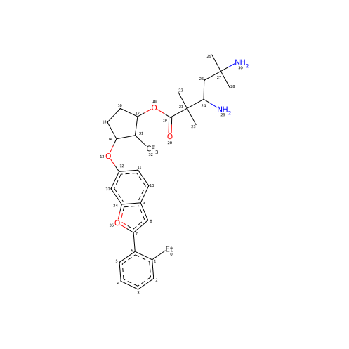 CCc1ccccc1-c1cc2ccc(OC3CCC(OC(=O)C(C)(C)C(N)CC(C)(C)N)C3C(F)(F)F)cc2o1